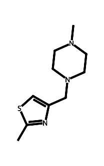 Cc1nc(CN2CCN(C)CC2)cs1